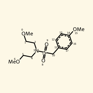 COCCN(CCOC)S(=O)(=O)Cc1ccc(OC)cc1